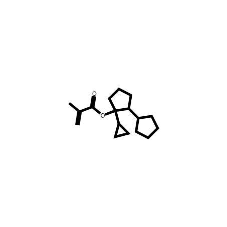 C=C(C)C(=O)OC1(C2CC2)CCCC1C1CCCC1